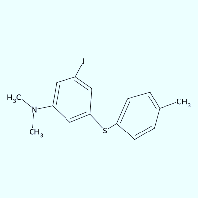 Cc1ccc(Sc2cc(I)cc(N(C)C)c2)cc1